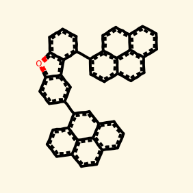 c1cc2ccc3cccc4c(-c5ccc6oc7cccc(-c8ccc9ccc%10cccc%11ccc8c9c%10%11)c7c6c5)cc(c1)c2c34